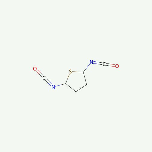 O=C=NC1CCC(N=C=O)S1